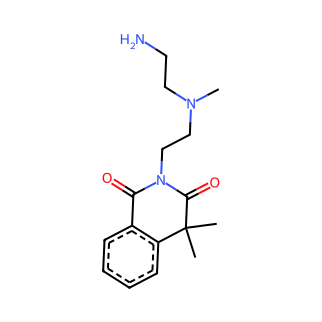 CN(CCN)CCN1C(=O)c2ccccc2C(C)(C)C1=O